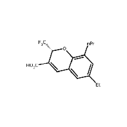 CCCc1cc(CC)cc2c1O[C@@H](C(F)(F)F)C(C(=O)O)=C2